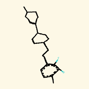 Cc1ccc(CCC2CCC(C3CCC(C)CC3)CC2)c(F)c1F